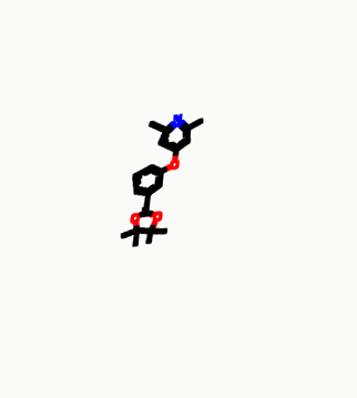 Cc1cc(Oc2cccc(B3OC(C)(C)C(C)(C)O3)c2)cc(C)n1